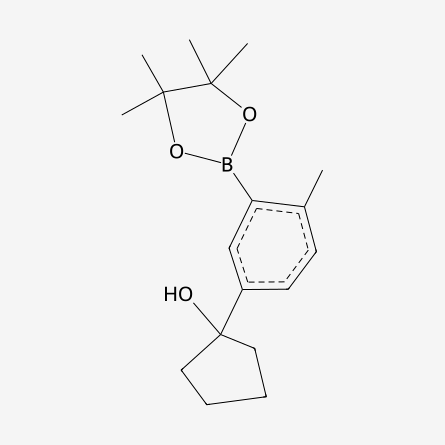 Cc1ccc(C2(O)CCCC2)cc1B1OC(C)(C)C(C)(C)O1